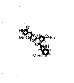 COC(=O)C(CC1CCNC1=O)NC(=O)[C@@H]1C[C@@H](OC(C)(C)C)CN1C(=O)c1cc2c(OC)cccc2[nH]1